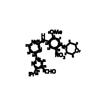 COc1cc(N2CCOCC2)c([N+](=O)[O-])cc1Nc1nccc(-n2cc(C=O)c(C(C)C)n2)n1